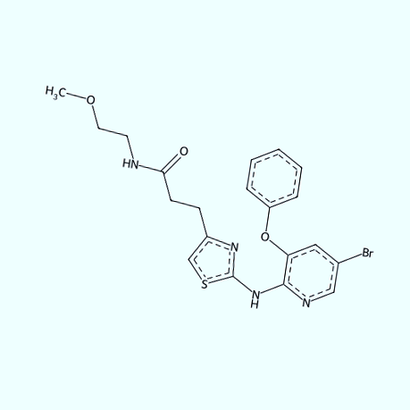 COCCNC(=O)CCc1csc(Nc2ncc(Br)cc2Oc2ccccc2)n1